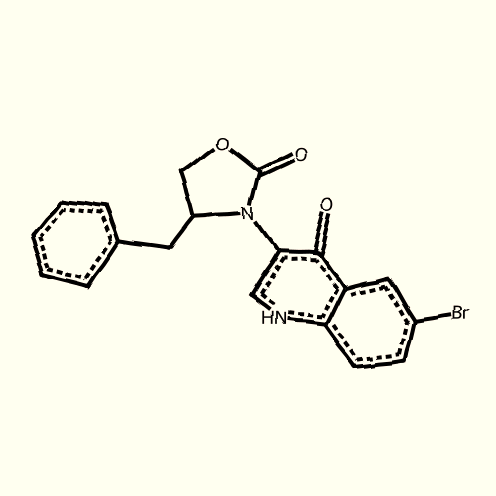 O=C1OCC(Cc2ccccc2)N1c1c[nH]c2ccc(Br)cc2c1=O